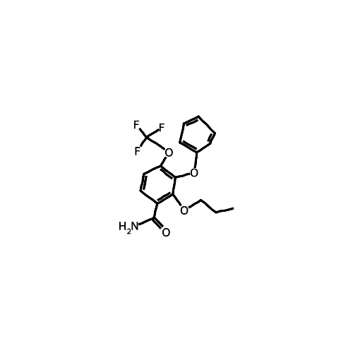 CCCOc1c(C(N)=O)ccc(OC(F)(F)F)c1Oc1ccccc1